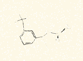 C[C@@H](N[S+]([O-])C(C)(C)C)c1cccc(C(C)(F)F)c1